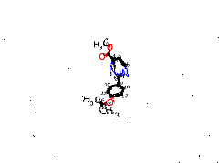 COC(=O)c1ccnc(-c2ccc(OC(C)C)cc2)n1